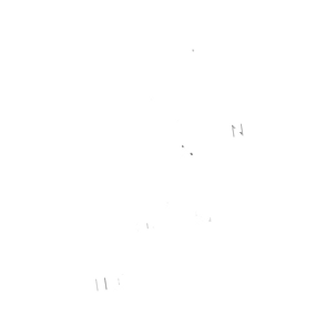 CCOC(=S)Cn1cnc2ccccc21